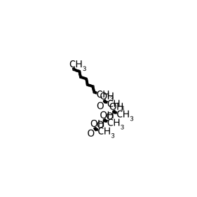 CC(=O)O.CC(=O)O.CC(=O)O.CC(=O)O.CCCCCCCCC